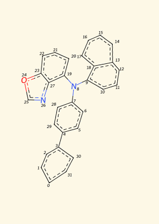 c1ccc(-c2ccc(N(c3cccc4ccccc34)c3cccc4ocnc34)cc2)cc1